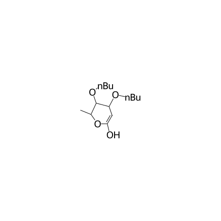 CCCCOC1C=C(O)OC(C)C1OCCCC